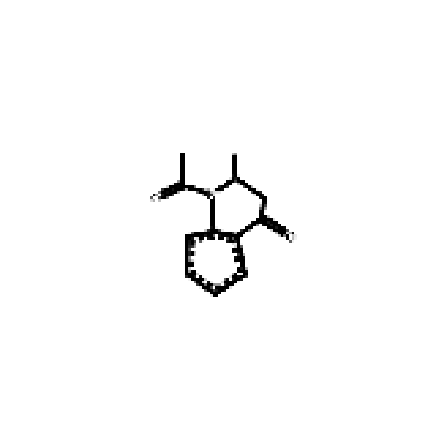 CC(=O)N1c2ccccc2C(=O)CC1C